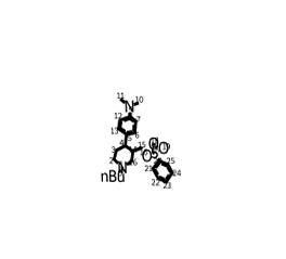 CCCCN1CCC(c2ccc(N(C)C)cc2)C(COS(=O)(=O)c2ccccc2)C1